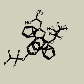 OC(CN(SSN(CC(O)C(F)(F)F)C1(c2cccc(OC(F)(F)C(F)F)c2)C2=CC=C1C=C2)C1(c2cccc(OC(F)(F)C(F)F)c2)C2=CC=C1C=C2)C(F)(F)F